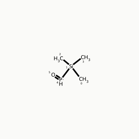 C[Si](C)(C)[PH]=O